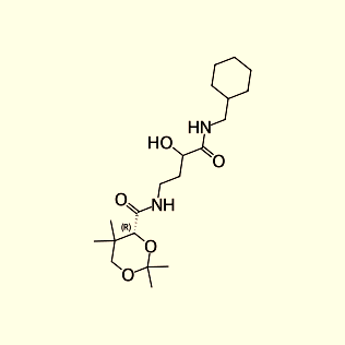 CC1(C)OCC(C)(C)[C@H](C(=O)NCCC(O)C(=O)NCC2CCCCC2)O1